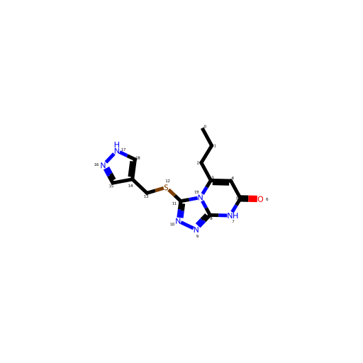 CCCc1cc(=O)[nH]c2nnc(SCc3cn[nH]c3)n12